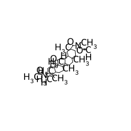 C#CON(CC)C(=O)[C@@]1(C)CC[C@]2(C)CC[C@]3(C)C(=CC(=O)[C@@H]4[C@@]5(C)CCC(NC(C)=O)C(C)(C)C5CC[C@]43C)[C@H]2C1